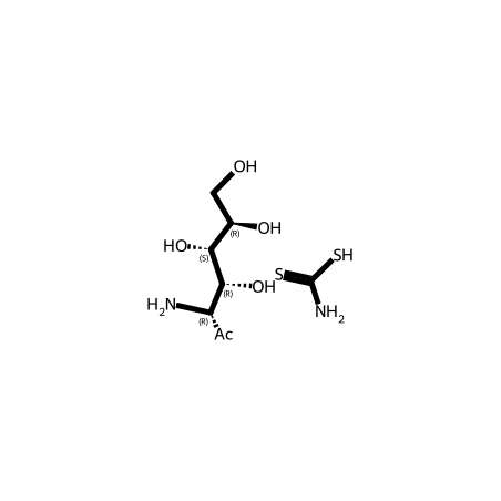 CC(=O)[C@H](N)[C@@H](O)[C@H](O)[C@H](O)CO.NC(=S)S